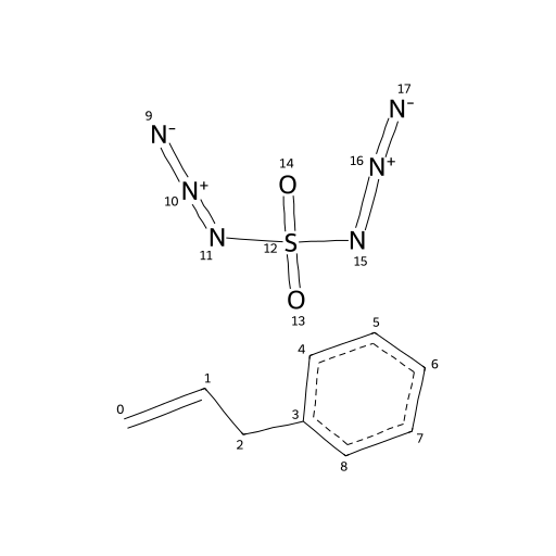 C=CCc1ccccc1.[N-]=[N+]=NS(=O)(=O)N=[N+]=[N-]